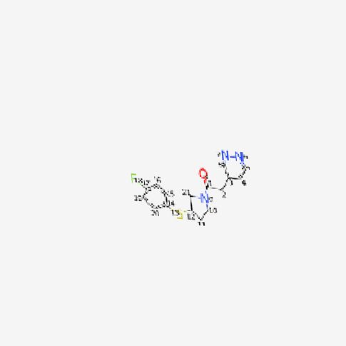 O=C(Cc1ccnnc1)N1CCC(Sc2ccc(F)cc2)C1